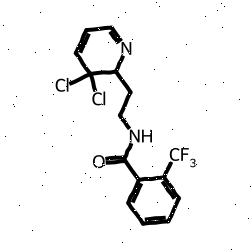 O=C(NCCC1N=CC=CC1(Cl)Cl)c1ccccc1C(F)(F)F